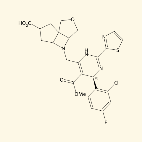 COC(=O)C1=C(CN2C3COCC34CC(C(=O)O)CC24)NC(c2nccs2)=N[C@H]1c1ccc(F)cc1Cl